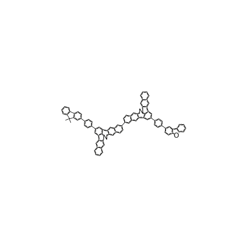 CC1(C)c2ccccc2-c2ccc(-c3ccc(-c4cc5c6cc7ccccc7cc6n6c7cc8ccc(-c9ccc%10cc%11c(cc%10c9)c9cc(-c%10ccc(-c%12ccc%13oc%14ccccc%14c%13c%12)cc%10)cc%10c%12cc%13ccccc%13cc%12n%11c%109)cc8cc7c(c4)c56)cc3)cc21